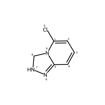 ClC1=CC=CC2=NNCN12